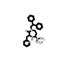 CN(C(=O)O)C1CCN(CC(c2ccccc2)c2ccccc2)C(=O)C(Cc2ccccn2)N1